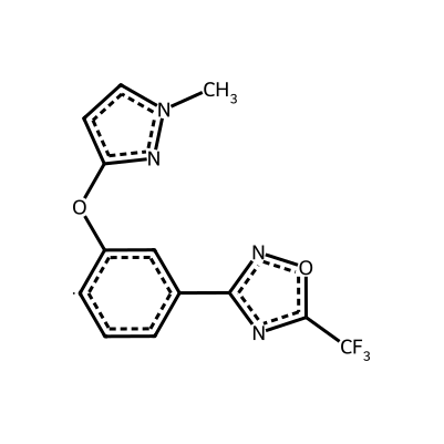 Cn1ccc(Oc2[c]ccc(-c3noc(C(F)(F)F)n3)c2)n1